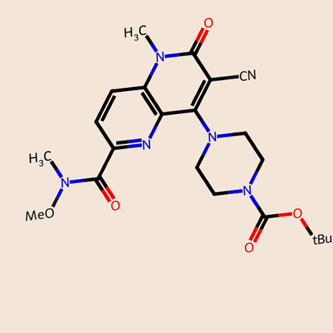 CON(C)C(=O)c1ccc2c(n1)c(N1CCN(C(=O)OC(C)(C)C)CC1)c(C#N)c(=O)n2C